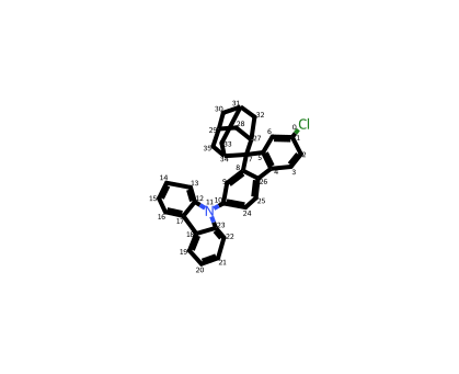 Clc1ccc2c(c1)C1(c3cc(-n4c5ccccc5c5ccccc54)ccc3-2)C2CC3CC(C2)CC1C3